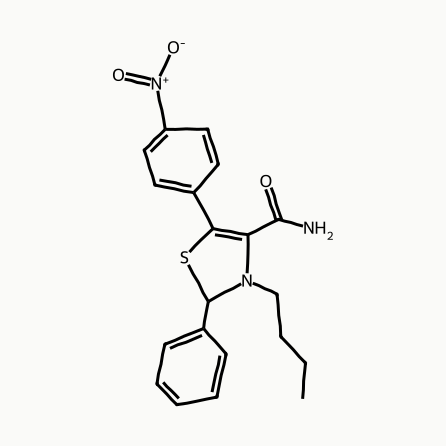 CCCCN1C(C(N)=O)=C(c2ccc([N+](=O)[O-])cc2)SC1c1ccccc1